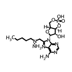 CCCCCN(N)Cc1nc2c(N)ncnc2n1[C@@H]1O[C@@H]2COP(=O)(O)O[C@H]2[C@H]1O